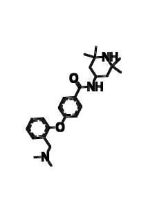 CN(C)Cc1ccccc1Oc1ccc(C(=O)NC2CC(C)(C)NC(C)(C)C2)cc1